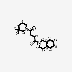 CC1(C)CCCN(C(=O)CCC(=O)N2CCc3ccccc3C2)C1